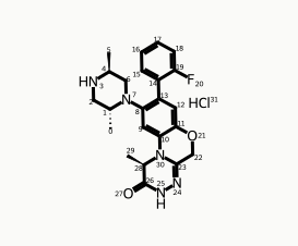 C[C@@H]1CN[C@@H](C)CN1c1cc2c(cc1-c1ccccc1F)OCC1=NNC(=O)[C@@H](C)N12.Cl